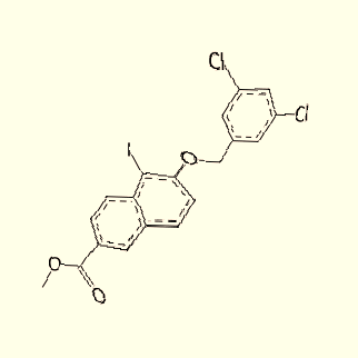 COC(=O)c1ccc2c(I)c(OCc3cc(Cl)cc(Cl)c3)ccc2c1